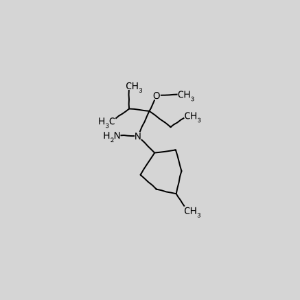 CCC(OC)(C(C)C)N(N)C1CCC(C)CC1